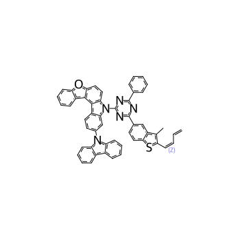 C=C/C=C\c1sc2ccc(-c3nc(-c4ccccc4)nc(-n4c5cc(-n6c7ccccc7c7ccccc76)ccc5c5c6c(ccc54)oc4ccccc46)n3)cc2c1C